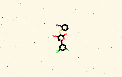 CC(C)c1ccccc1Sc1c(O)cc(-c2cc(Cl)cc(Cl)c2)oc1=O